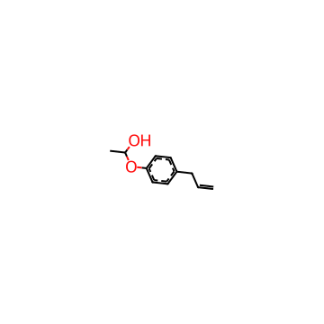 C=CCc1ccc(OC(C)O)cc1